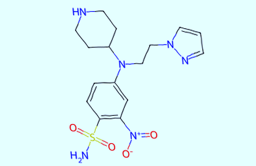 NS(=O)(=O)c1ccc(N(CCn2cccn2)C2CCNCC2)cc1[N+](=O)[O-]